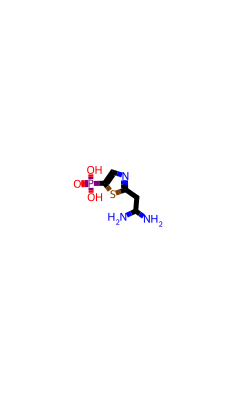 NC(N)Cc1ncc(P(=O)(O)O)s1